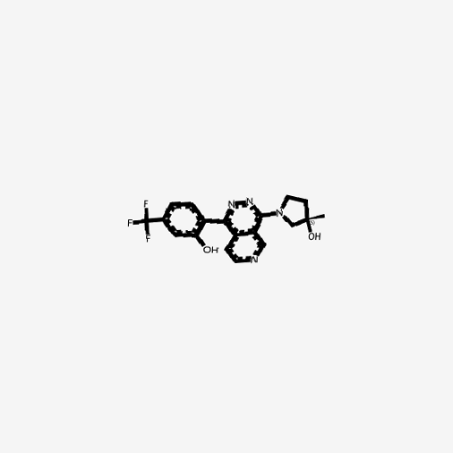 C[C@]1(O)CCN(c2nnc(-c3ccc(C(F)(F)F)cc3O)c3ccncc23)C1